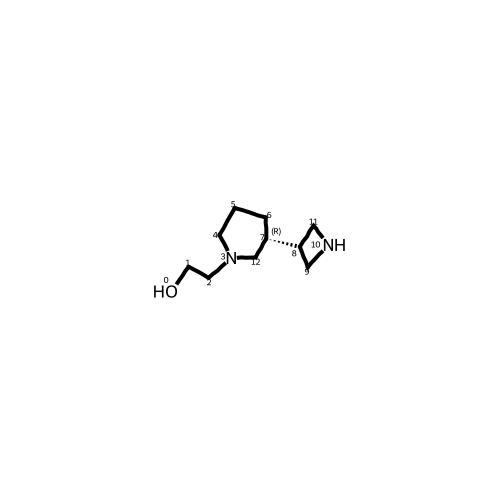 OCCN1CCC[C@H](C2CNC2)C1